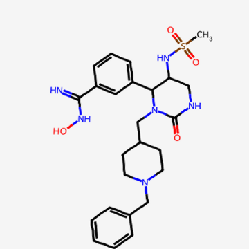 CS(=O)(=O)NC1CNC(=O)N(CC2CCN(Cc3ccccc3)CC2)C1c1cccc(C(=N)NO)c1